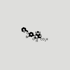 O=C(O)c1sc2ncnc3c2c1NC(=O)N3c1ccc(OCc2ccccn2)c(Br)c1